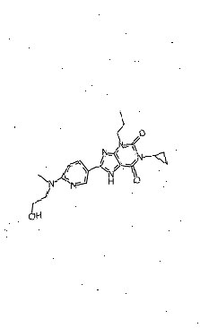 CCCn1c(=O)n(C2CC2)c(=O)c2[nH]c(-c3ccc(N(C)CCO)nc3)nc21